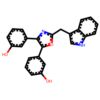 Oc1cccc(-c2nc(Cc3c[nH]c4ccccc34)oc2-c2cccc(O)c2)c1